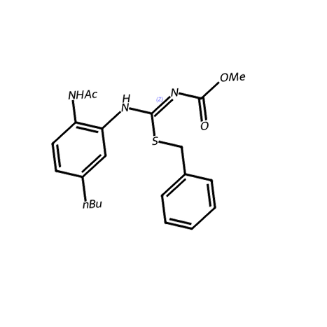 CCCCc1ccc(NC(C)=O)c(N/C(=N/C(=O)OC)SCc2ccccc2)c1